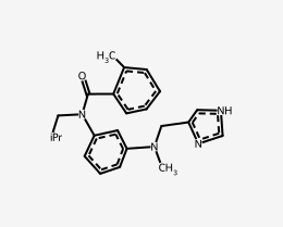 Cc1ccccc1C(=O)N(CC(C)C)c1cccc(N(C)Cc2c[nH]cn2)c1